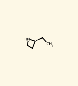 CC[C@H]1CCN1